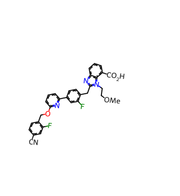 COCCn1c(Cc2ccc(-c3cccc(OCc4ccc(C#N)cc4F)n3)cc2F)nc2cccc(C(=O)O)c21